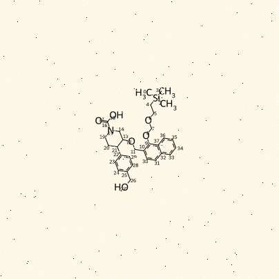 C[Si](C)(C)CCOCOc1c(COC2CN(C(=O)O)CCC2c2ccc(CO)cc2)ccc2ccccc12